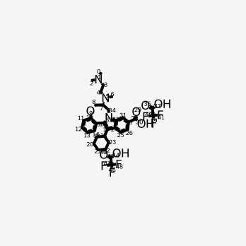 CN(C)CCN(C)[C@@H]1COc2ccccc2-c2c(C3CCCCC3)c3ccc(C(=O)O)cc3n2C1.O=C(O)C(F)(F)F.O=C(O)C(F)(F)F